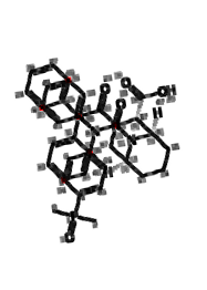 CP(C)(=O)c1ccc(N(C(=O)N2[C@H]3CCC[C@@H]2[C@@H](C(=O)O)N(C(=O)N(c2ccccc2)c2ccccc2)C3)c2ccccc2)cc1